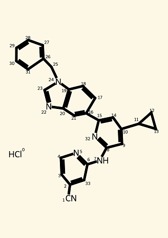 Cl.N#Cc1ccnc(Nc2cc(C3CC3)cc(-c3ccc4c(c3)ncn4Cc3ccccc3)n2)c1